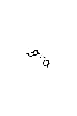 CCCn1c(=O)ccc2cc(N[S+]([O-])Cc3ccc(C)c(F)c3F)ccc21